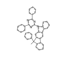 CC1(c2ccccc2)c2ccccc2-c2cc3c4ccccc4n(-c4nc(-c5ccccc5)nc(-c5ccccc5)n4)c3cc21